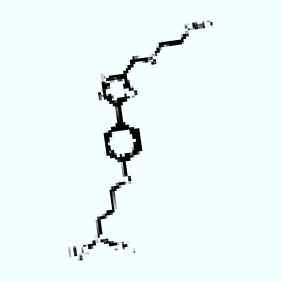 COCCSCc1nnc(-c2ccc(OCCCN(C)C)cc2)o1